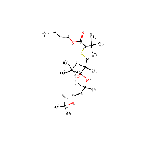 CCCCOC(=O)C(SCC(C)(CC(C)(C)C)C(=O)OC(C)(C)CCOC(C)(C)C)C(C)(C)C